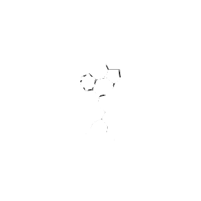 CCC(CC)COC(=O)c1ccccc1N1C(=O)C=CC1=O